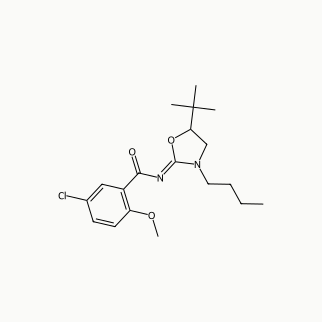 CCCCN1CC(C(C)(C)C)OC1=NC(=O)c1cc(Cl)ccc1OC